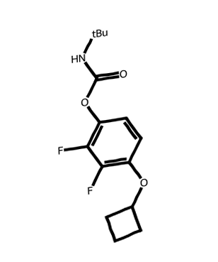 CC(C)(C)NC(=O)Oc1ccc(OC2CCC2)c(F)c1F